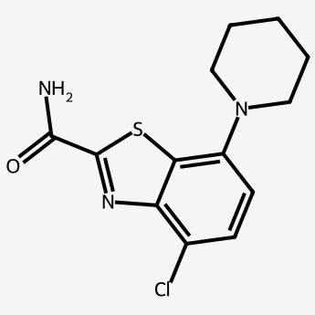 NC(=O)c1nc2c(Cl)ccc(N3CCCCC3)c2s1